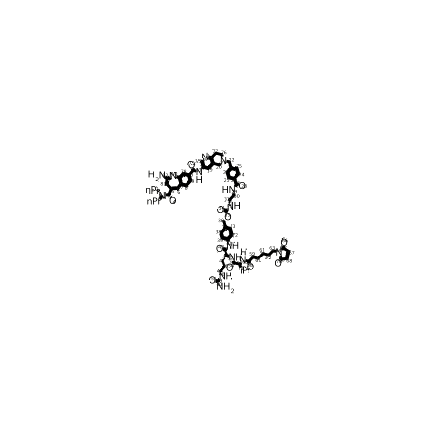 CCCN(CCC)C(=O)C1=Cc2ccc(C(=O)Nc3cnc4c(c3)CN(Cc3ccc(C(=O)NCCNC(=O)OCc5ccc(NC(=O)[C@H](CCCNC(N)=O)NC(=O)C(NC(=O)CCCCCN6C(=O)C=CC6=O)C(C)C)cc5)cc3)CC4)cc2N=C(N)C1